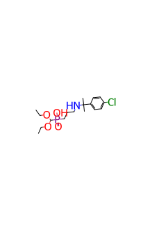 CCOC(OCC)P(=O)(O)CCCNC(C)(C)c1ccc(Cl)cc1